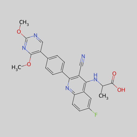 COc1ncc(-c2ccc(-c3nc4ccc(F)cc4c(NC(C)C(=O)O)c3C#N)cc2)c(OC)n1